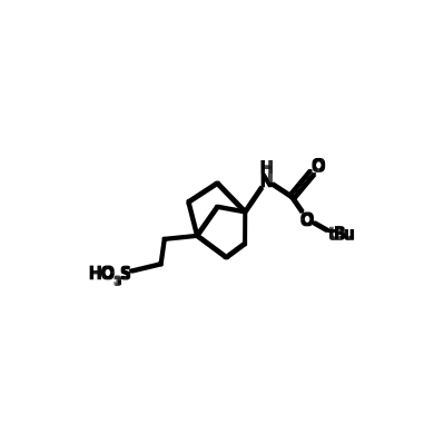 CC(C)(C)OC(=O)NC12CCC(CCS(=O)(=O)O)(CC1)C2